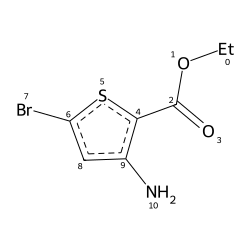 CCOC(=O)c1sc(Br)cc1N